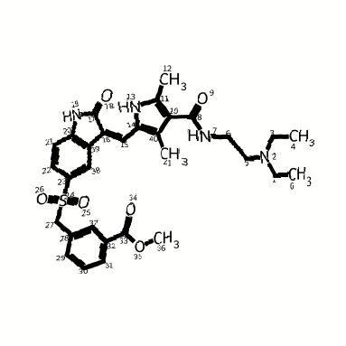 CCN(CC)CCNC(=O)c1c(C)[nH]c(/C=C2\C(=O)Nc3ccc(S(=O)(=O)Cc4cccc(C(=O)OC)c4)cc32)c1C